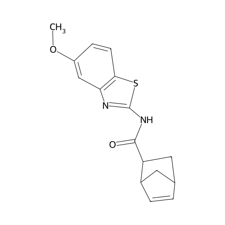 COc1ccc2sc(NC(=O)C3CC4C=CC3C4)nc2c1